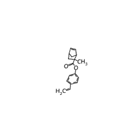 C=Cc1ccc(OC(=O)C2(C)CC3C=CC2C3)cc1